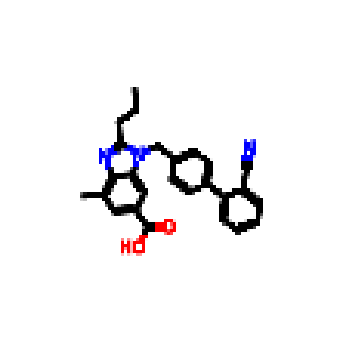 CCCc1nc2c(C)cc(C(=O)O)cc2n1Cc1ccc(-c2ccccc2C#N)cc1